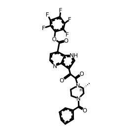 C[C@@H]1CN(C(=O)c2ccccc2)CCN1C(=O)C(=O)c1c[nH]c2c(C(=O)Oc3c(F)c(F)c(F)c(F)c3F)ccnc12